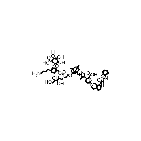 Cc1c(-c2ccc(N3CCc4cccc(C(=O)Nc5nc6ccccc6s5)c4C3)nc2C(=O)O)cnn1CC12CC3(C)CC(C)(C1)CC(OCCN(CCC(O)C(O)CO)C(=O)OCc1ccc(CCCCN)cc1O[C@@H]1O[C@H](C(=O)O)[C@@H](O)[C@H](O)[C@H]1O)(C3)C2